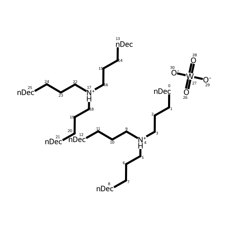 CCCCCCCCCCCCC[NH+](CCCCCCCCCCCCC)CCCCCCCCCCCCC.CCCCCCCCCCCCC[NH+](CCCCCCCCCCCCC)CCCCCCCCCCCCC.[O]=[W](=[O])([O-])[O-]